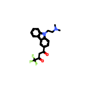 CN(C)CCn1c2ccccc2c2cc(C(=O)CC(=O)C(F)(F)F)ccc21